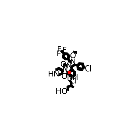 CCOc1cc(C(F)(F)F)ccc1C1=NC(c2ccc(Cl)cc2)C(c2ccc(Cl)cc2)N1C(=O)N(CC(=O)NCCC(C)CCO)C1CCNCC1